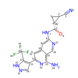 N#CC1C[C@H]1C(=O)Nc1cc2cc(-c3cn[nH]c3C(F)(F)F)nc(N)c2cn1